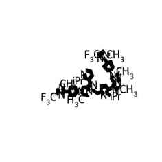 Cc1nc(-c2ccc(Cc3nc(-c4cccnc4C(C)C)c4n3CC(C)N(c3ccc(-c5nc(C(F)(F)F)cn5C)cc3)C4)nc2C(C)C)c2n1C[C@H](C)N(c1ccc(-c3nc(C(F)(F)F)cn3C)cc1)C2